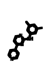 Cc1cc(C)cc(Nc2nccc(-c3ccncc3)n2)c1